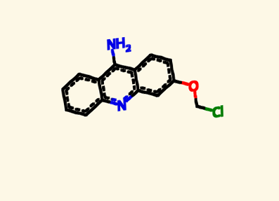 Nc1c2ccccc2nc2cc(OCCl)ccc12